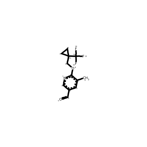 Cc1cc(C=O)cnc1OCC1(C(F)(F)F)CC1